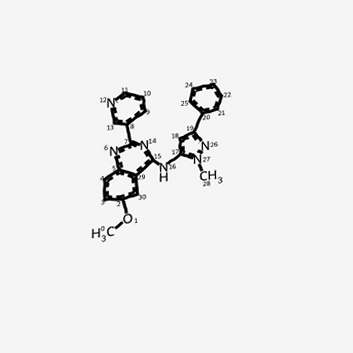 COc1ccc2nc(-c3cccnc3)nc(Nc3cc(-c4ccccc4)nn3C)c2c1